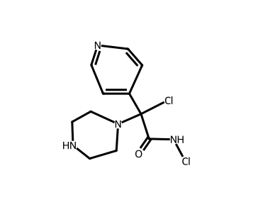 O=C(NCl)C(Cl)(c1ccncc1)N1CCNCC1